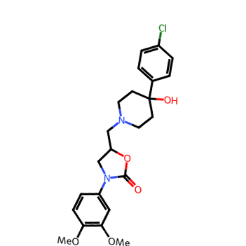 COc1ccc(N2CC(CN3CCC(O)(c4ccc(Cl)cc4)CC3)OC2=O)cc1OC